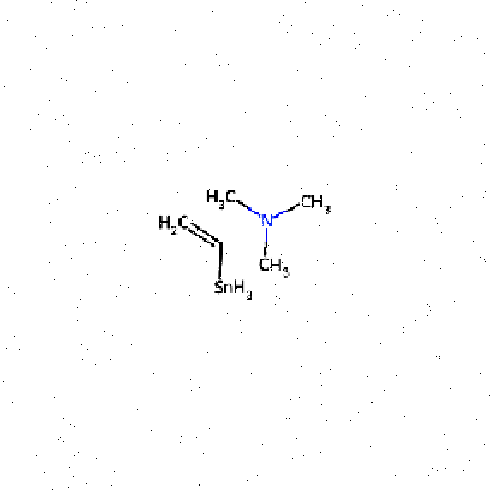 C=[CH][SnH3].CN(C)C